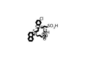 CCNOS(=O)(=O)CCCN1C(=Cc2sc3ccc(Cl)cc3[n+]2CCCS(=O)(=O)O)Sc2ccc3ccccc3c21